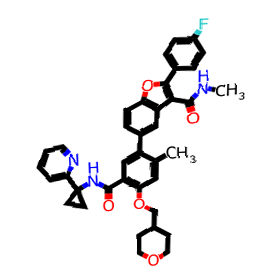 CNC(=O)c1c(-c2ccc(F)cc2)oc2ccc(-c3cc(C(=O)NC4(c5ccccn5)CC4)c(OCC4CCOCC4)cc3C)cc12